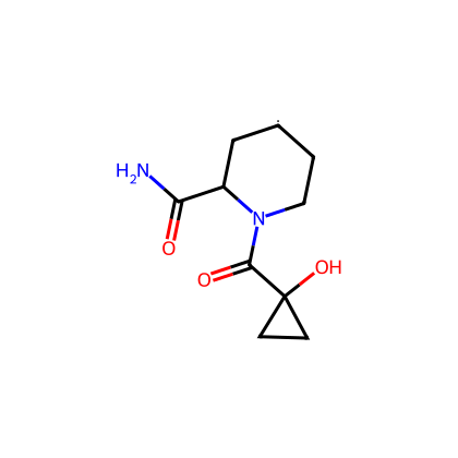 NC(=O)C1C[CH]CCN1C(=O)C1(O)CC1